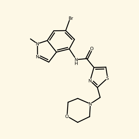 Cn1ncc2c(NC(=O)c3csc(CN4CCOCC4)n3)cc(Br)cc21